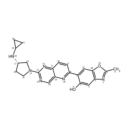 Cc1nc2cc(O)c(-c3ccc4nc(N5CC[C@H](NC6CC6)C5)ncc4n3)cc2o1